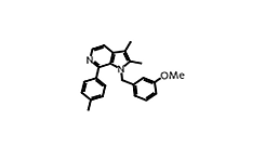 COc1cccc(Cn2c(C)c(C)c3ccnc(-c4ccc(C)cc4)c32)c1